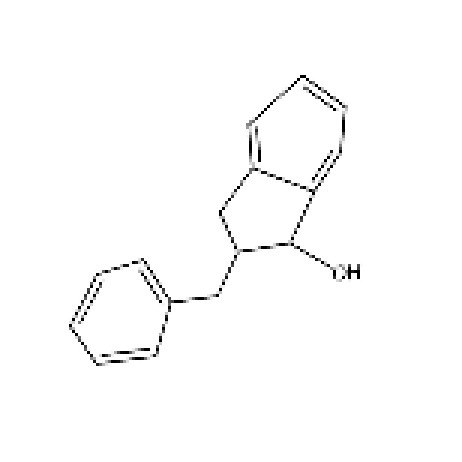 OC1c2ccccc2CC1Cc1ccccc1